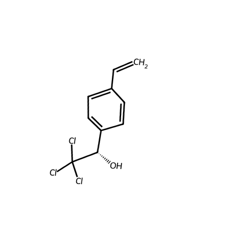 C=Cc1ccc([C@H](O)C(Cl)(Cl)Cl)cc1